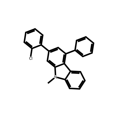 Cn1c2ccccc2c2c(-c3ccccc3)cc(-c3ccccc3Cl)cc21